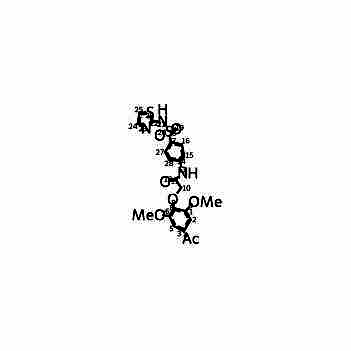 COc1cc(C(C)=O)cc(OC)c1OCC(=O)Nc1ccc(S(=O)(=O)Nc2nccs2)cc1